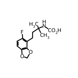 CC(C)(CCc1c(F)ccc2c1OCO2)NC(=O)O